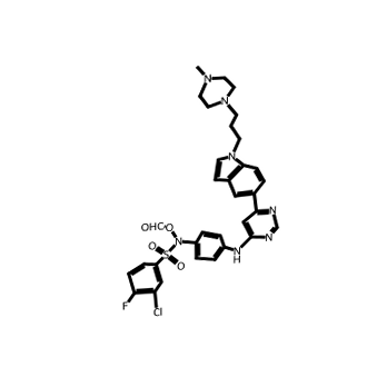 CN1CCN(CCCn2ccc3cc(-c4cc(Nc5ccc(N(OC=O)S(=O)(=O)c6ccc(F)c(Cl)c6)cc5)ncn4)ccc32)CC1